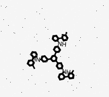 Cc1cccc(-c2ccccc2Nc2ccc(-c3cc(-c4ccc(Nc5ccccc5-c5cccc(C)c5)cc4)cc(-c4ccc(Nc5ccccc5-c5cccc(C)c5)cc4)c3)cc2)c1